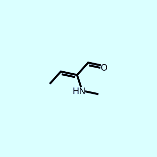 CC=C(C=O)NC